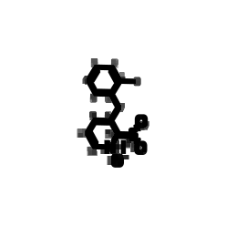 Cc1ccccc1CC1=CC=C[NH+]([O-])C1=S(=O)=O